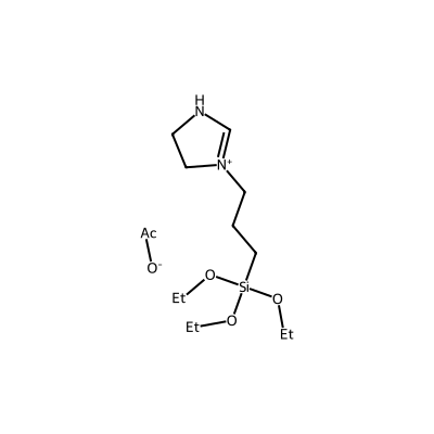 CC(=O)[O-].CCO[Si](CCC[N+]1=CNCC1)(OCC)OCC